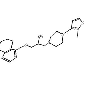 Cc1sccc1N1CCN(CC(O)COc2cccc3c2CCCC3)CC1